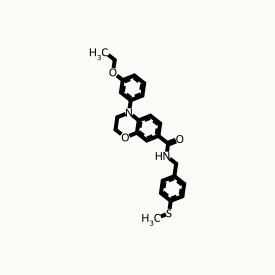 CCOc1cccc(N2CCOc3cc(C(=O)NCc4ccc(SC)cc4)ccc32)c1